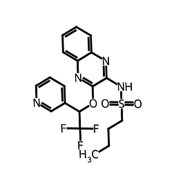 CCCCS(=O)(=O)Nc1nc2ccccc2nc1OC(c1cccnc1)C(F)(F)F